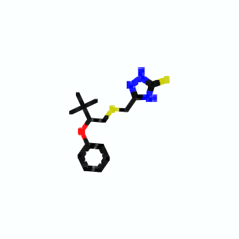 CC(C)(C)C(CSCc1n[nH]c(=S)[nH]1)Oc1ccccc1